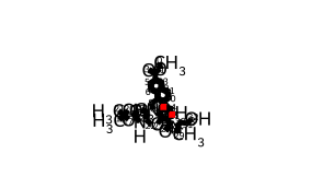 COC(=O)c1ccc2c(CN3C(=O)C(NC(=O)OC(C)(C)C)COc4c(C(=O)N(C)CCO)cccc43)c(OC)ccc2c1